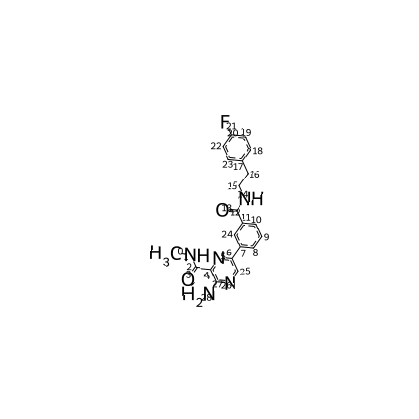 CNC(=O)c1nc(-c2cccc(C(=O)NCCc3ccc(F)cc3)c2)cnc1N